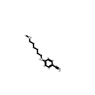 COCCCCCCOc1ccc(C#N)cc1